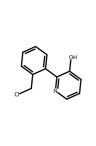 Oc1cccnc1-c1ccccc1CCl